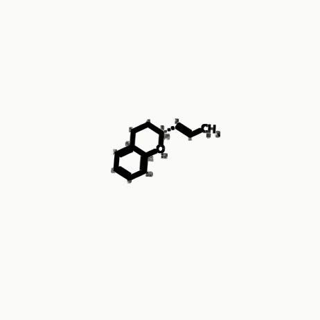 CC=C[C@H]1CCc2ccccc2O1